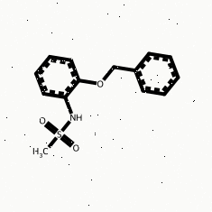 CS(=O)(=O)Nc1ccccc1OCc1ccccc1